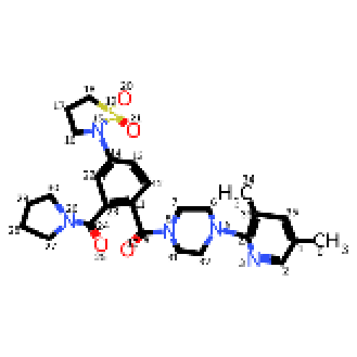 Cc1cnc(N2CCN(C(=O)c3ccc(N4CCCS4(=O)=O)cc3C(=O)N3CCCC3)CC2)c(C)c1